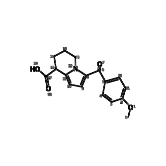 COc1ccc(C(=O)c2ccc3n2CCCC3C(=O)O)cc1